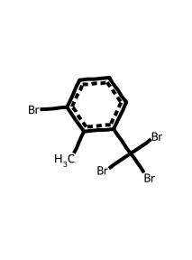 Cc1c(Br)cccc1C(Br)(Br)Br